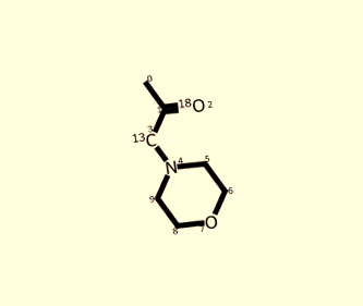 CC(=[18O])[13CH2]N1CCOCC1